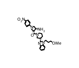 COCCCn1c([C@@H]2CCCN(C(=O)[C@@H]3CN(c4ccc([N+](=O)[O-])cc4)C[C@H]3N)C2)nc2ccccc21